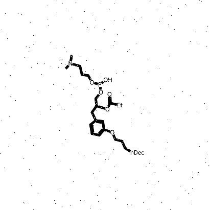 CCCCCCCCCCCCCOc1cccc(CC(COP(O)OCCCN(C)C)OC(=O)CC)c1